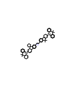 CC1(C)C2=C(CCC(N3c4ccccc4C(C)(C)c4ccccc43)=C2)c2ccc(/C=C/c3ccc4c(c3)C3(CCCC3)C3C=C(N5C6=C(CCC=C6)C(C)(C)c6ccccc65)C=CC43)cc21